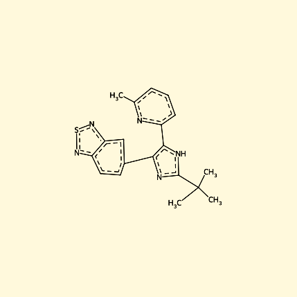 Cc1cccc(-c2[nH]c(C(C)(C)C)nc2-c2ccc3nsnc3c2)n1